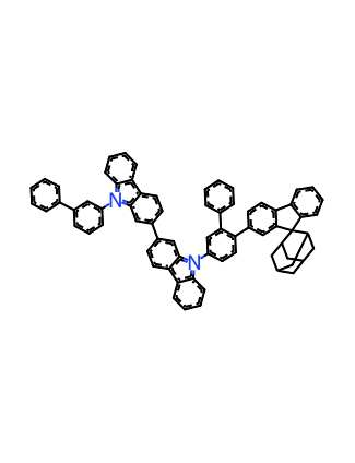 c1ccc(-c2cccc(-n3c4ccccc4c4ccc(-c5ccc6c7ccccc7n(-c7ccc(-c8ccc9c(c8)C8(c%10ccccc%10-9)C9CC%10CC(C9)CC8C%10)c(-c8ccccc8)c7)c6c5)cc43)c2)cc1